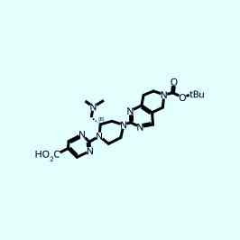 CN(C)C[C@@H]1CN(c2ncc3c(n2)CCN(C(=O)OC(C)(C)C)C3)CCN1c1ncc(C(=O)O)cn1